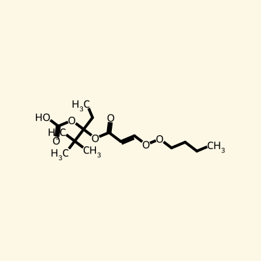 CCCCOOC=CC(=O)OC(CC)(OC(=O)O)C(C)(C)C